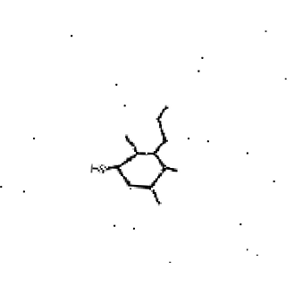 CCCC1C(C)C(C)CC(S)C1C